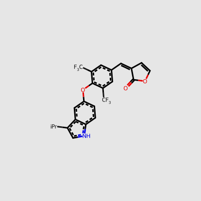 CC(C)c1c[nH]c2ccc(Oc3c(C(F)(F)F)cc(C=C4C=COC4=O)cc3C(F)(F)F)cc12